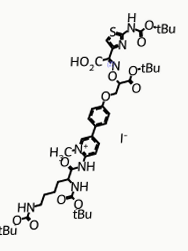 C[n+]1cc(-c2ccc(OCC(O/N=C(\C(=O)O)c3csc(NC(=O)OC(C)(C)C)n3)C(=O)OC(C)(C)C)cc2)ccc1NC(=O)C(CCCCNC(=O)OC(C)(C)C)NC(=O)OC(C)(C)C.[I-]